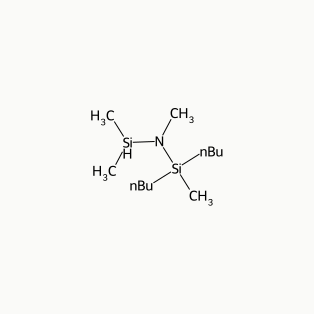 CCCC[Si](C)(CCCC)N(C)[SiH](C)C